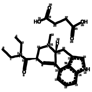 CCN(CC)C(=O)[C@@H]1C=C2c3cccc4[nH]cc(c34)C[C@H]2N(C)C1.O=C(O)CCC(=O)O